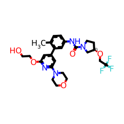 Cc1ccc(NC(=O)N2CC[C@@H](OCC(F)(F)F)C2)cc1-c1cc(OCCO)nc(N2CCOCC2)c1